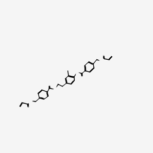 C=CC(=O)OCc1ccc(C(=O)OCCc2ccc(OC(=O)c3ccc(COC(=O)C=C)cc3)c(C)c2)cc1